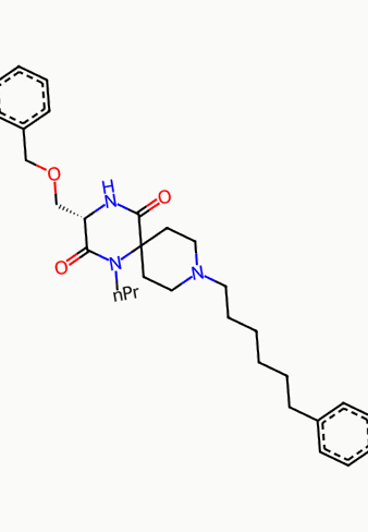 CCCN1C(=O)[C@H](COCc2ccccc2)NC(=O)C12CCN(CCCCCCc1ccccc1)CC2